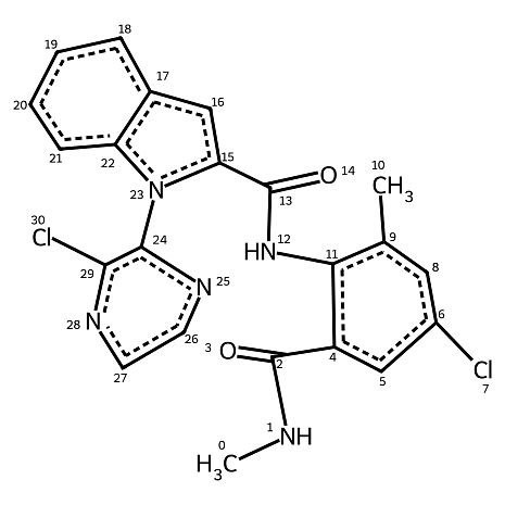 CNC(=O)c1cc(Cl)cc(C)c1NC(=O)c1cc2ccccc2n1-c1nccnc1Cl